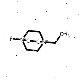 CC[N+]12CC[N+](F)(CC1)CC2